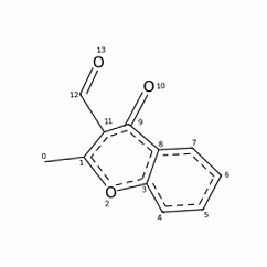 Cc1oc2ccccc2c(=O)c1C=O